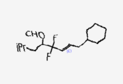 CC(C)CC(C=O)C(F)(F)/C=C/CC1CCCCC1